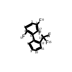 Fc1ccc(F)c(-c2ccc[c]c2C(F)(F)F)c1